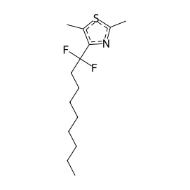 CCCCCCCCC(F)(F)c1nc(C)sc1C